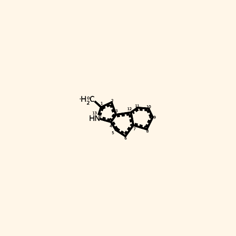 [CH2]c1cc2c(ccc3ccccc32)[nH]1